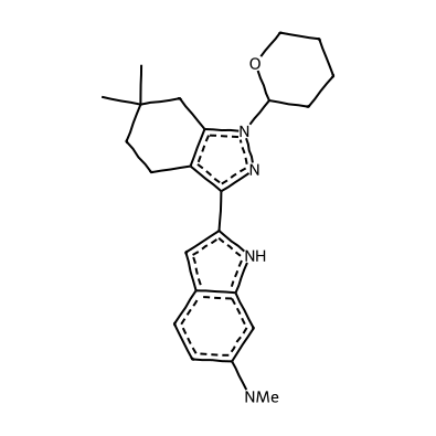 CNc1ccc2cc(-c3nn(C4CCCCO4)c4c3CCC(C)(C)C4)[nH]c2c1